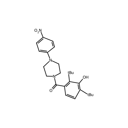 CC(C)(C)c1ccc(C(=O)N2CCN(c3ccc([N+](=O)[O-])cc3)CC2)c(C(C)(C)C)c1O